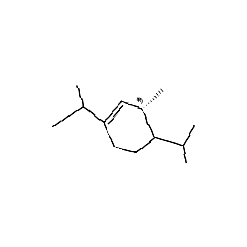 CC(C)C1=C[C@H](C)C(C(C)C)CC1